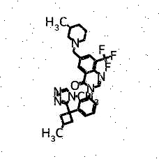 CC1CC(c2cccc(-n3cnc4c(C(F)(F)F)cc(CN5CCC[C@H](C)C5)cc4c3=O)c2)(c2nncn2C)C1